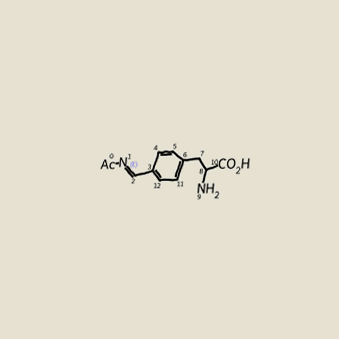 CC(=O)/N=C/c1ccc(CC(N)C(=O)O)cc1